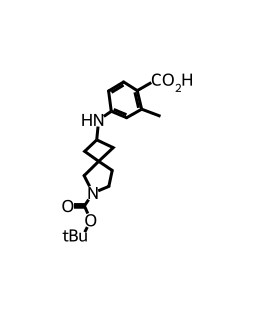 Cc1cc(NC2CC3(CCN(C(=O)OC(C)(C)C)C3)C2)ccc1C(=O)O